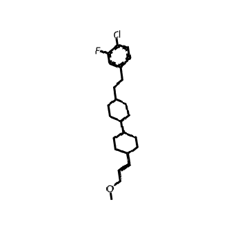 COC/C=C/C1CCC(C2CCC(CCc3ccc(Cl)c(F)c3)CC2)CC1